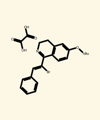 CCCCOc1ccc2c(c1)CCN=C2C(Br)=Cc1ccccc1.O=C(O)C(=O)O